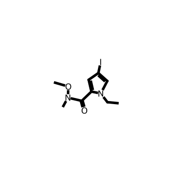 CCn1cc(I)cc1C(=O)N(C)OC